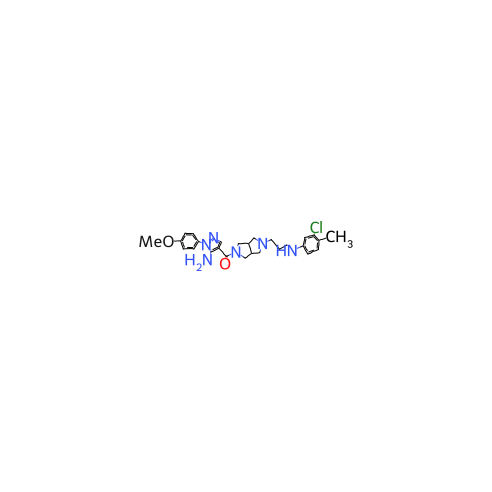 COc1ccc(-n2ncc(C(=O)N3CC4CN(CCCNc5ccc(C)c(Cl)c5)CC4C3)c2N)cc1